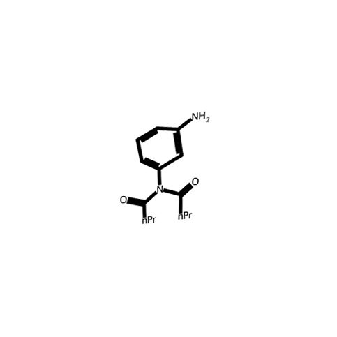 CCCC(=O)N(C(=O)CCC)c1cccc(N)c1